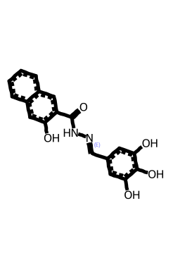 O=C(N/N=C/c1cc(O)c(O)c(O)c1)c1cc2ccccc2cc1O